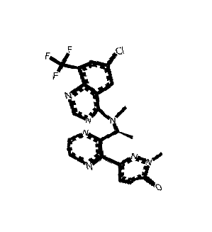 C[C@@H](c1nccnc1-c1ccc(=O)n(C)n1)N(C)c1ncnc2c(C(F)(F)F)cc(Cl)cc12